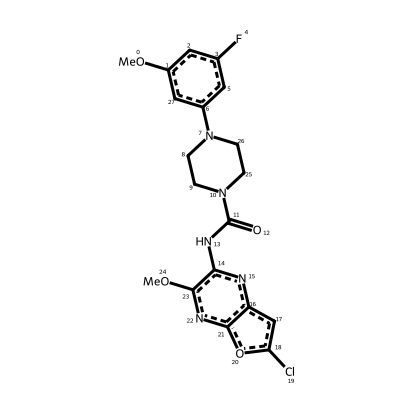 COc1cc(F)cc(N2CCN(C(=O)Nc3nc4cc(Cl)oc4nc3OC)CC2)c1